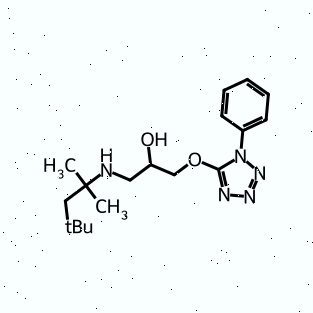 CC(C)(C)CC(C)(C)NCC(O)COc1nnnn1-c1ccccc1